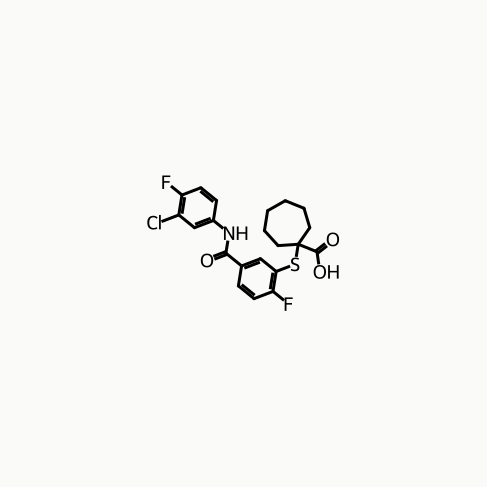 O=C(Nc1ccc(F)c(Cl)c1)c1ccc(F)c(SC2(C(=O)O)CCCCCC2)c1